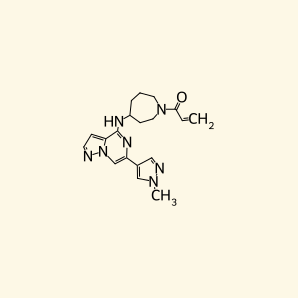 C=CC(=O)N1CCCC(Nc2nc(-c3cnn(C)c3)cn3nccc23)CC1